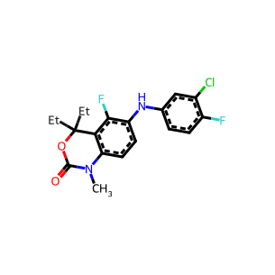 CCC1(CC)OC(=O)N(C)c2ccc(Nc3ccc(F)c(Cl)c3)c(F)c21